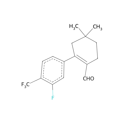 CC1(C)CCC(C=O)=C(c2ccc(C(F)(F)F)c(F)c2)C1